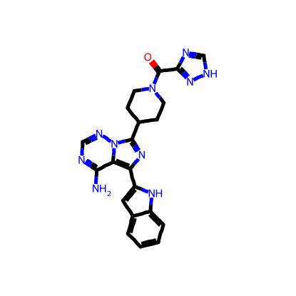 Nc1ncnn2c(C3CCN(C(=O)c4nc[nH]n4)CC3)nc(-c3cc4ccccc4[nH]3)c12